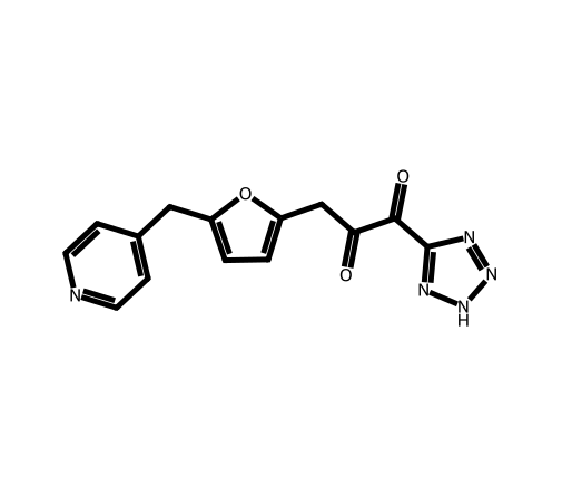 O=C(Cc1ccc(Cc2ccncc2)o1)C(=O)c1nn[nH]n1